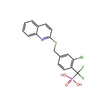 O=P(O)(O)C(F)(F)c1ccc(CSc2ccc3ccccc3n2)cc1Br